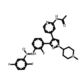 CC(=O)Nc1cc(-c2cn(C3CCN(C)CC3)nc2-c2cccc(N[S+]([O-])c3cc(F)ccc3F)c2F)ccn1